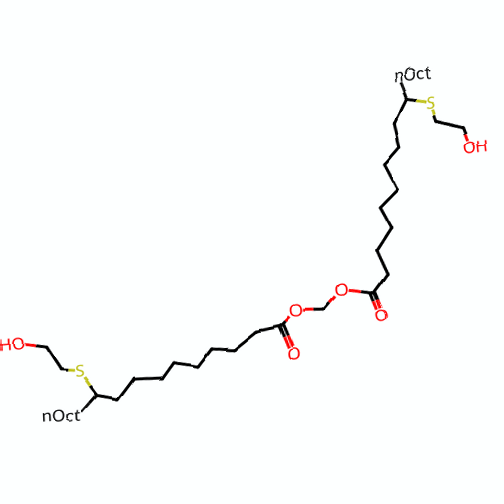 CCCCCCCCC(CCCCCCCCC(=O)OCOC(=O)CCCCCCCCC(CCCCCCCC)SCCO)SCCO